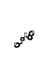 c1cncc(CN2CCC(Nc3cccc4cnccc34)C2)c1